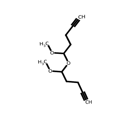 C#CCCC(OC)OC(CCC#C)OC